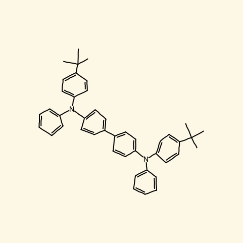 CC(C)(C)c1ccc(N(c2ccccc2)c2ccc(-c3ccc(N(c4ccccc4)c4ccc(C(C)(C)C)cc4)cc3)cc2)cc1